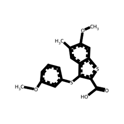 COc1cccc(Sc2c(C(=O)O)sc3cc(OC)c(C)cc23)c1